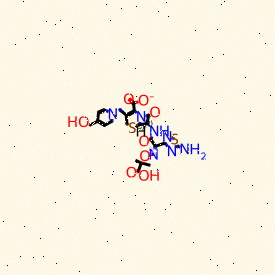 CC(C)(O/N=C(\C(=O)N[C@@H]1C(=O)N2C(C(=O)[O-])=C(C[n+]3ccc(CO)cc3)CS[C@@H]12)c1nsc(N)n1)C(=O)O